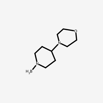 BN1CCC(N2CCOCC2)CC1